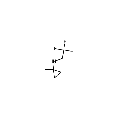 CC1(NCC(F)(F)F)CC1